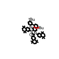 CC(C)(C)c1ccc(N2c3cc4c(cc3B3c5oc6cc7c(cc6c5N(c5ccc6c(c5)C(C)(C)CCC6(C)C)c5cc(C(C)(C)C)cc2c53)C(C)(C)CCC7(C)C)C(C)(C)CCC4(C)C)c(-c2ccccc2)c1